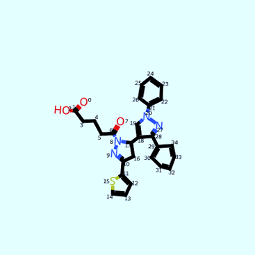 O=C(O)CCCC(=O)N1N=C(c2cccs2)CC1c1cn(-c2ccccc2)nc1-c1ccccc1